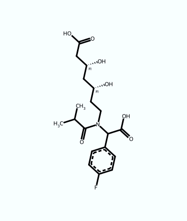 CC(C)C(=O)N(CC[C@@H](O)C[C@@H](O)CC(=O)O)C(C(=O)O)c1ccc(F)cc1